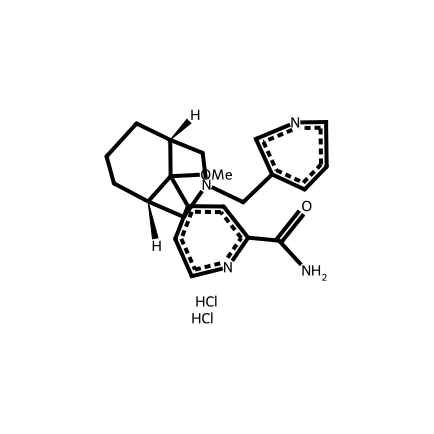 COC1(c2ccnc(C(N)=O)c2)[C@@H]2CCC[C@H]1CN(Cc1cccnc1)C2.Cl.Cl